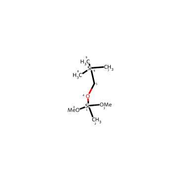 CO[Si](C)(OC)OC[Si](C)(C)C